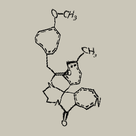 COc1ccc(CC(=O)N2CCN3C(=O)c4cnccc4C23c2ccc(C)cc2)cc1